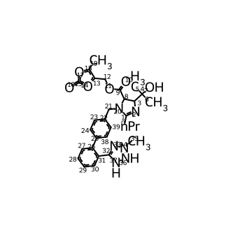 CCCC1=NC(C(C)(C)O)C(C(=O)OCc2oc(=O)oc2C)N1Cc1ccc(-c2ccccc2C2=NN(C)NN2)cc1